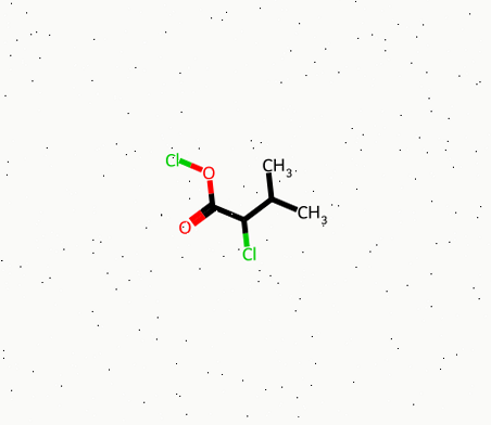 CC(C)C(Cl)C(=O)OCl